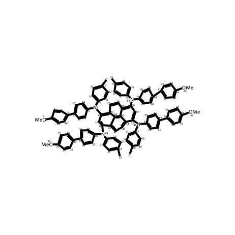 COc1ccc(-c2ccc(N(c3ccc(C)cc3)c3cc(N(c4ccc(C)cc4)c4ccc(-c5ccc(OC)cc5)cc4)c4ccc5c(N(c6ccc(C)cc6)c6ccc(-c7ccc(OC)cc7)cc6)cc(N(c6ccc(C)cc6)c6ccc(-c7ccc(OC)cc7)cc6)c6ccc3c4c65)cc2)cc1